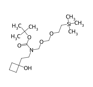 CC(C)(C)OC(=O)N(CCC1(O)CCC1)COCOCC[Si](C)(C)C